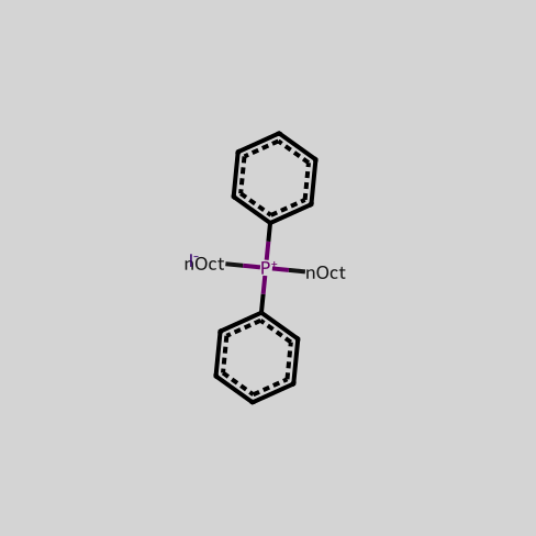 CCCCCCCC[P+](CCCCCCCC)(c1ccccc1)c1ccccc1.[I-]